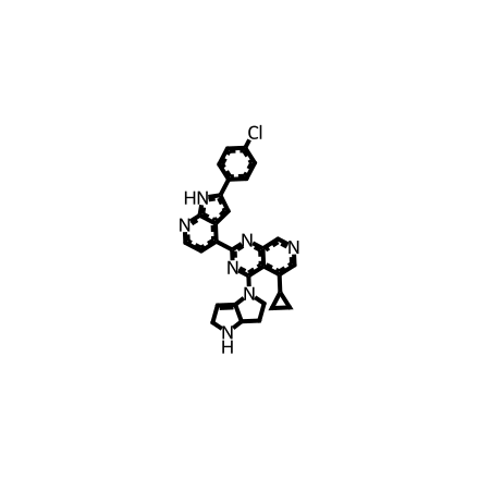 Clc1ccc(-c2cc3c(-c4nc(N5CCC6NCC=C65)c5c(C6CC6)cncc5n4)ccnc3[nH]2)cc1